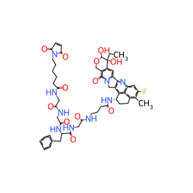 CC[C@]1(O)c2cc3n(c(=O)c2COC1O)Cc1c-3nc2cc(F)c(C)c3c2c1[C@@H](NC(=O)CCCNC(=O)CNC(=O)C(Cc1ccccc1)NC(=O)CNC(=O)CNC(=O)CCCCCN1C(=O)C=CC1=O)CC3